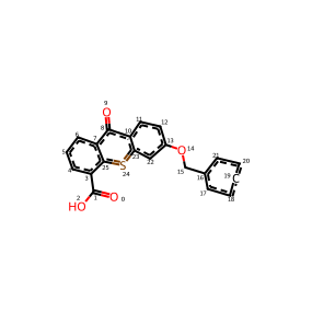 O=C(O)c1cccc2c(=O)c3ccc(OCc4ccccc4)cc3sc12